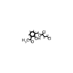 CC(=O)c1cccc(COC(Cl)CCCl)c1O